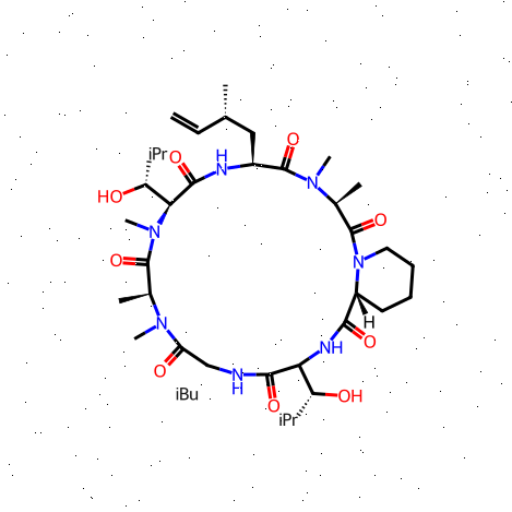 C=C[C@H](C)C[C@@H]1NC(=O)[C@H]([C@H](O)C(C)C)N(C)C(=O)[C@H](C)N(C)C(=O)C([C@H](C)CC)NC(=O)C([C@H](O)C(C)C)NC(=O)[C@H]2CCCCN2C(=O)[C@H](C)N(C)C1=O